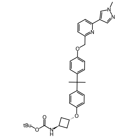 Cn1cc(-c2cccc(COc3ccc(C(C)(C)c4ccc(O[C@H]5C[C@H](NC(=O)OC(C)(C)C)C5)cc4)cc3)n2)cn1